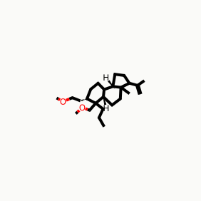 C=C(C)C1CC[C@H]2C3CC[C@@H](CCOC)C(CCC)(COC)[C@H]3CCC12C